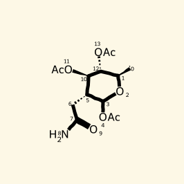 [CH2][C@H]1OC(OC(C)=O)[C@H](CC(N)=O)[C@@H](OC(C)=O)[C@@H]1OC(C)=O